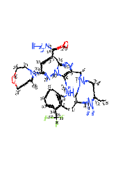 Cc1c(Nc2c(CN3CC(C)NC(C)C3)nc3c(C(N)=O)cc(N4CCOCC4)nn23)cccc1C(F)(F)F